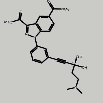 CNC(=O)c1ccc2c(c1)c(C(=O)OC)nn2-c1cccc(C#C[C@@](O)(C=O)CCN(C)C)c1